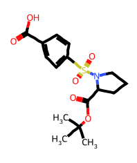 CC(C)(C)OC(=O)C1CCCN1S(=O)(=O)c1ccc(C(=O)O)cc1